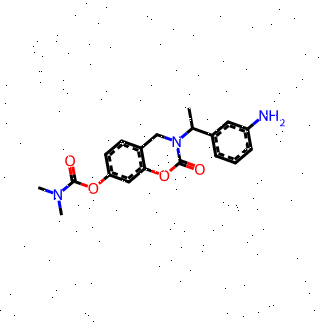 CC(c1cccc(N)c1)N1Cc2ccc(OC(=O)N(C)C)cc2OC1=O